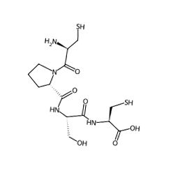 N[C@@H](CS)C(=O)N1CCC[C@H]1C(=O)N[C@@H](CO)C(=O)N[C@@H](CS)C(=O)O